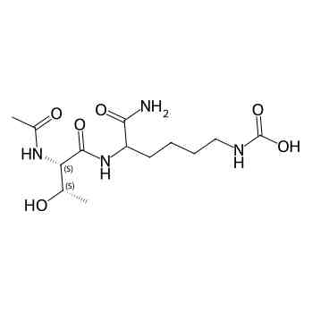 CC(=O)N[C@H](C(=O)NC(CCCCNC(=O)O)C(N)=O)[C@H](C)O